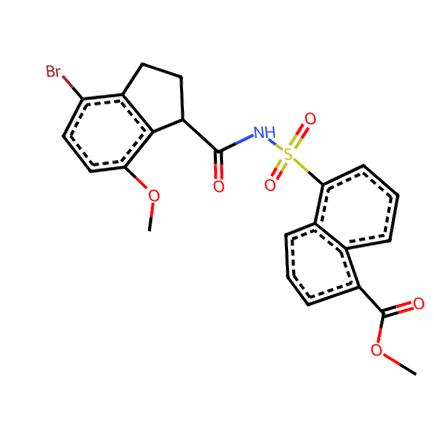 COC(=O)c1cccc2c(S(=O)(=O)NC(=O)C3CCc4c(Br)ccc(OC)c43)cccc12